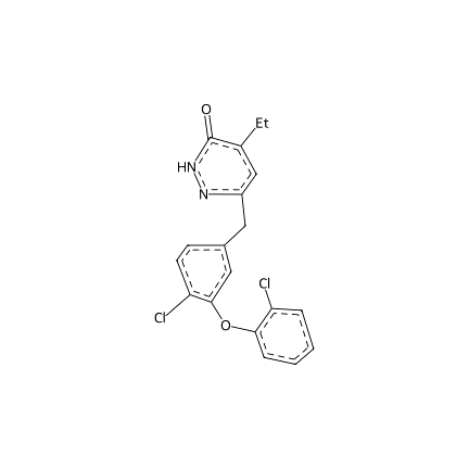 CCc1cc(Cc2ccc(Cl)c(Oc3ccccc3Cl)c2)n[nH]c1=O